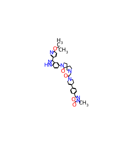 CC(C)Oc1ccc(-c2n[nH]c3ccc(N4CCC5(CCN(CC(=O)N6CC=C(c7ccc(-c8nn(C)c(=O)o8)cc7)CC6)C5)C4=O)cc23)cn1